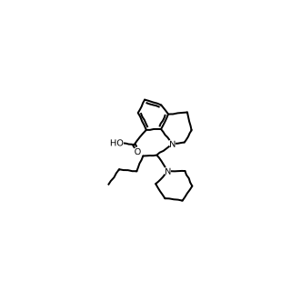 CCCCC(N1CCCCC1)N1CCCc2cccc(C(=O)O)c21